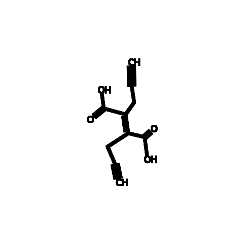 C#CC/C(C(=O)O)=C(/CC#C)C(=O)O